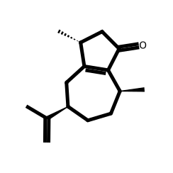 C=C(C)[C@@H]1CC[C@H](C)C2=C(C1)[C@H](C)CC2=O